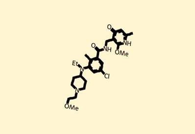 CCN(c1cc(Cl)cc(C(=O)NCc2c(OC)[nH]c(C)cc2=O)c1C)C1CCN(CCOC)CC1